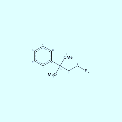 COC(CCF)(OC)c1ccccc1